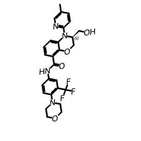 Cc1ccc(N2c3cccc(C(=O)Nc4ccc(N5CCOCC5)c(C(F)(F)F)c4)c3OC[C@@H]2CO)nc1